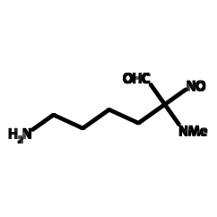 CNC(C=O)(CCCCN)N=O